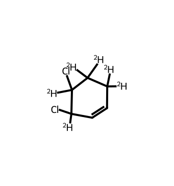 [2H]C1([2H])C=CC([2H])(Cl)C([2H])(Cl)C1([2H])[2H]